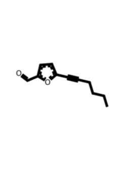 CCCCC#Cc1ccc(C=O)o1